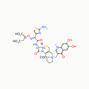 Cn1cc(C[N+]2(CC3=C(C(=O)[O-])N4C(=O)[C@@H](NC(=O)C(=NO[C@@H](CC(=O)O)C(=O)O)c5csc(N)n5)[C@H]4SC3)CCCC2)c(=O)c2cc(O)c(O)cc21